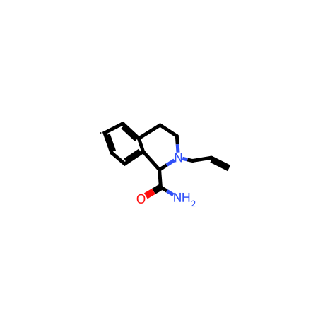 C=CCN1CCc2c[c]ccc2C1C(N)=O